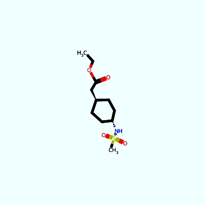 CCOC(=O)C[C@H]1CC[C@H](NS(C)(=O)=O)CC1